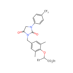 CCOC(=O)C(CC)Oc1c(C)cc(CN2C(=O)CN(c3ccc(C(F)(F)F)cc3)C2=O)cc1C